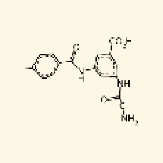 Cc1ccc(C(=O)Nc2cc(NC(=O)CN)cc(C(=O)O)c2)cc1